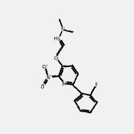 CN(C)[SH]=COc1ccc(-c2ccccc2F)nc1[N+](=O)[O-]